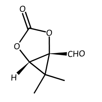 CC1(C)[C@@H]2OC(=O)O[C@@]21C=O